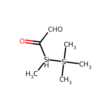 C[SiH](C(=O)C=O)[Si](C)(C)C